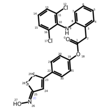 O=C(Cc1ccccc1Nc1c(Cl)cccc1Cl)Oc1ccc(-c2c/c(=N/O)ss2)cc1